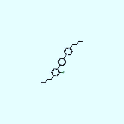 C=CCCc1ccc(-c2ccc(-c3ccc(CCC=C)cc3F)cc2)cc1